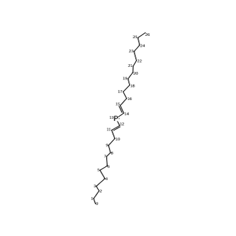 CCCCCCCCCCCC=C[P]C=CCCCCCCCCCCC